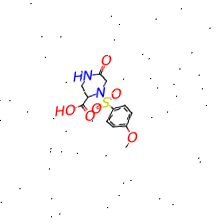 COc1ccc(S(=O)(=O)N2CC(=O)NCC2C(=O)O)cc1